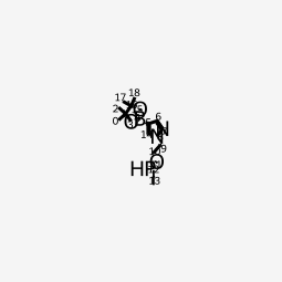 CC1(C)OB(c2cnn(CCOPI)c2)OC1(C)C